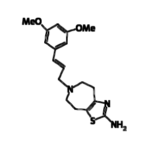 COc1cc(C=CCN2CCc3nc(N)sc3CC2)cc(OC)c1